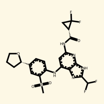 CS(=O)(=O)c1cc([C@@H]2CCCO2)ccc1Nc1cc(NC(=O)[C@@H]2CC2(F)F)nc2[nH]c(C(F)F)nc12